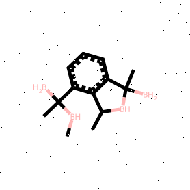 BC(C)(BC)c1cccc2c1C(C)BC2(B)C